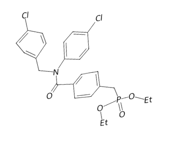 CCOP(=O)(Cc1ccc(C(=O)N(Cc2ccc(Cl)cc2)c2ccc(Cl)cc2)cc1)OCC